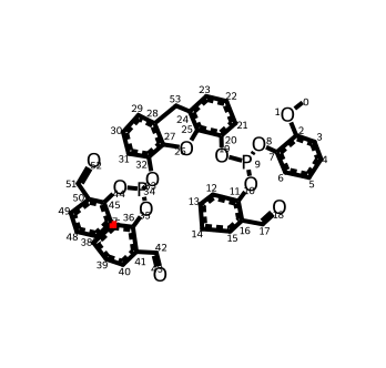 COc1ccccc1OP(Oc1ccccc1C=O)Oc1cccc2c1Oc1c(cccc1OP(Oc1ccccc1C=O)Oc1ccccc1C=O)C2